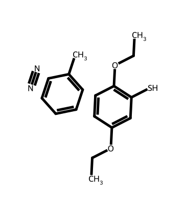 CCOc1ccc(OCC)c(S)c1.Cc1ccccc1.N#N